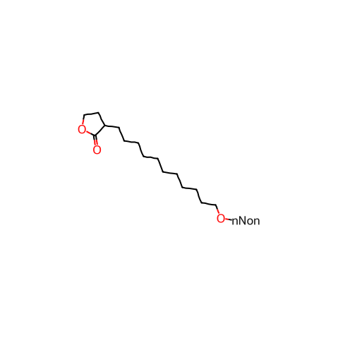 CCCCCCCCCOCCCCCCCCCCCC1CCOC1=O